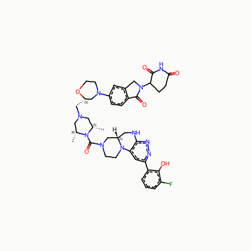 C[C@@H]1CN(C[C@H]2CN(c3ccc4c(c3)CN(C3CCC(=O)NC3=O)C4=O)CCO2)C[C@H](C)N1C(=O)N1CCN2c3cc(-c4cccc(F)c4O)nnc3NC[C@H]2C1